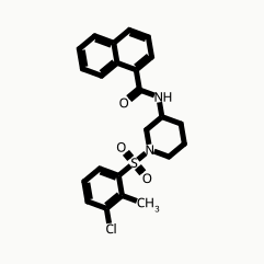 Cc1c(Cl)cccc1S(=O)(=O)N1CCCC(NC(=O)c2cccc3ccccc23)C1